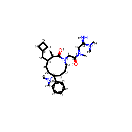 CC1C(=O)N(CC(=O)N(C)CC(=N)N(C)C)CCC[C@](c2ccccc2)(N(C)C)CCC1CC1CCC1